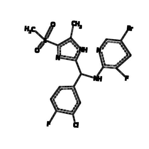 Cc1[nH]c(C(Nc2ncc(Br)cc2F)c2ccc(F)c(Cl)c2)nc1S(C)(=O)=O